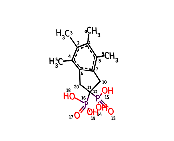 Cc1c(C)c(C)c2c(c1C)CC(P(=O)(O)O)(P(=O)(O)O)C2